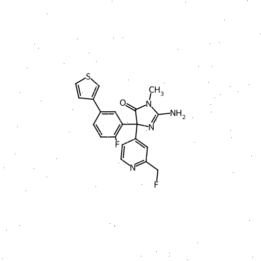 CN1C(=O)C(c2ccnc(CF)c2)(c2cc(-c3ccsc3)ccc2F)N=C1N